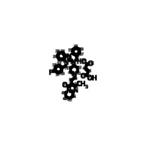 Cc1nc2n(c(=O)c1CCN1CCC(N(Cc3ccccc3)c3nc4ccccc4n3Cc3ccc(F)cc3)CC1)CCCC2.O=C(O)C=CC(=O)O